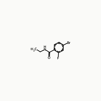 [CH2]CNC(=O)c1ccc(Br)cc1F